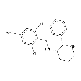 COc1cc(Cl)c(CN[C@H]2CCCN[C@H]2c2ccccc2)c(Cl)c1